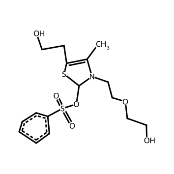 CC1=C(CCO)SC(OS(=O)(=O)c2ccccc2)N1CCOCCO